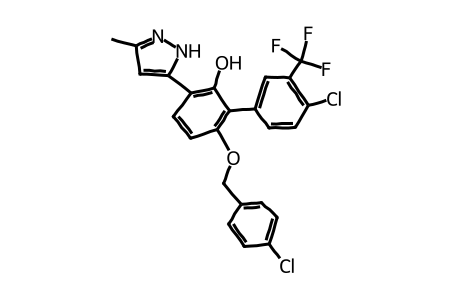 Cc1cc(-c2ccc(OCc3ccc(Cl)cc3)c(-c3ccc(Cl)c(C(F)(F)F)c3)c2O)[nH]n1